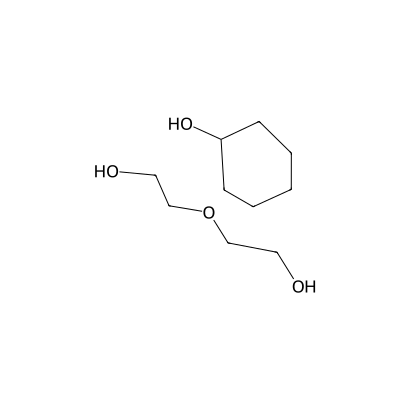 OC1CCCCC1.OCCOCCO